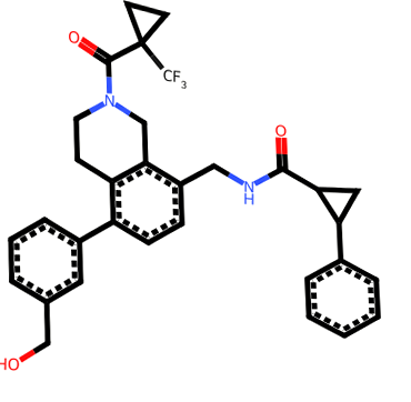 O=C(NCc1ccc(-c2cccc(CO)c2)c2c1CN(C(=O)C1(C(F)(F)F)CC1)CC2)C1CC1c1ccccc1